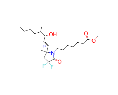 CCCCC(C)C(O)/C=C/C1(C)CC(F)(F)C(=O)N1CCCCCCC(=O)OC